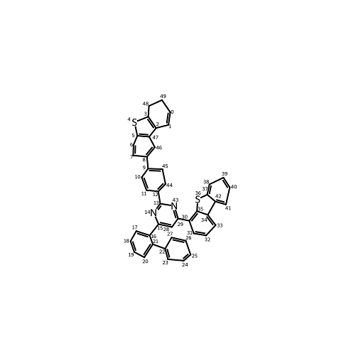 C1=Cc2c(sc3ccc(-c4ccc(-c5nc(-c6ccccc6-c6ccccc6)cc(-c6cccc7c6sc6ccccc67)n5)cc4)cc23)CC1